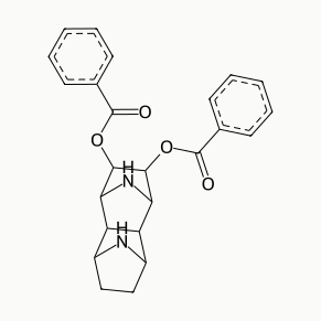 O=C(OC1C2NC(C1OC(=O)c1ccccc1)C1C3CCC(N3)C21)c1ccccc1